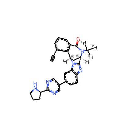 [2H]C([2H])([2H])N1C(=O)c2cccc(C#C)c2[C@H]2C[C@@H]1c1nc3ccc(-c4cnc(C5CCCN5)nc4)cc3n12